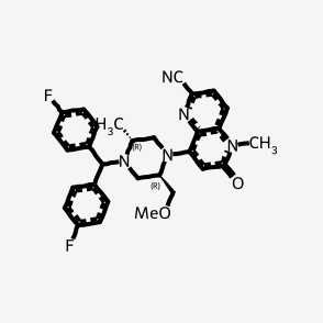 COC[C@H]1CN(C(c2ccc(F)cc2)c2ccc(F)cc2)[C@H](C)CN1c1cc(=O)n(C)c2ccc(C#N)nc12